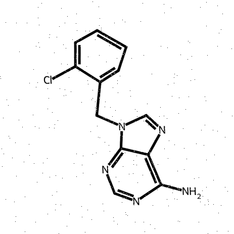 Nc1ncnc2c1ncn2Cc1ccccc1Cl